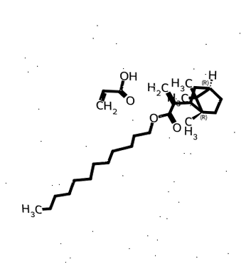 C=C(C(=O)OCCCCCCCCCCCC)C1C[C@H]2CC[C@@]1(C)C2(C)C.C=CC(=O)O